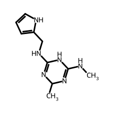 CNC1=NC(C)N=C(NCc2ccc[nH]2)N1